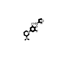 CN(C)C1CCCN(c2cc(F)c(SNc3ccon3)c(F)c2)C1